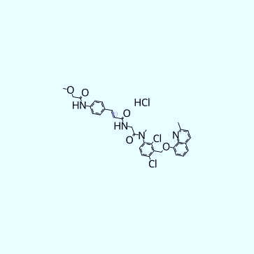 COCC(=O)Nc1ccc(/C=C/C(=O)NCC(=O)N(C)c2ccc(Cl)c(COc3cccc4ccc(C)nc34)c2Cl)cc1.Cl